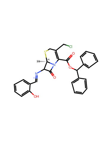 O=C(OC(c1ccccc1)c1ccccc1)C1=C(CCl)CS[C@@H]2C(/N=C/c3ccccc3O)C(=O)N12